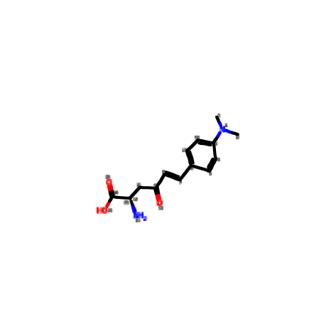 CN(C)c1ccc(C=CC(=O)C[C@@H](N)C(=O)O)cc1